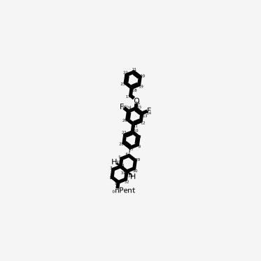 CCCCCC1CC[C@@H]2C[C@H](c3ccc(-c4cc(F)c(OCc5ccccc5)c(F)c4)cc3)CC[C@@H]2C1